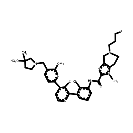 COc1nc(-c2ccnc(-c3cccc(NC(=O)c4nc5c(n4C)CCN(CCCF)C5)c3Cl)c2Cl)ccc1CN1CCC(C)(C(=O)O)C1